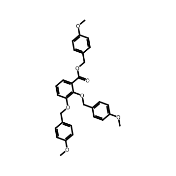 COc1ccc(COC(=O)c2cccc(OCc3ccc(OC)cc3)c2OCc2ccc(OC)cc2)cc1